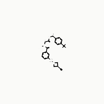 C[C@H](NC(=O)[C@@H](C)N(C)C(=O)c1cccc(S(=O)(=O)N2CC(C#N)C2)c1)c1ccc(C(F)(F)F)cc1